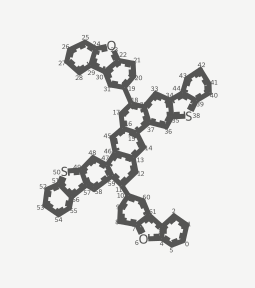 c1ccc2c(c1)oc1ccc(-c3cc4cc5c(cc(-c6ccc7oc8ccccc8c7c6)c6cc7c(cc65)sc5ccccc57)cc4c4cc5sc6ccccc6c5cc34)cc12